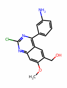 COc1cc2nc(Cl)nc(-c3cccc(N)c3)c2cc1CO